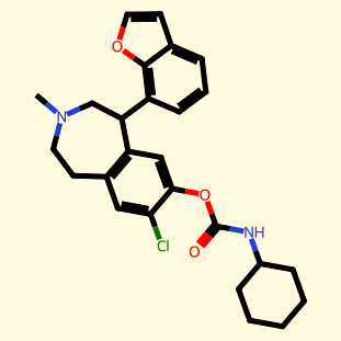 CN1CCc2cc(Cl)c(OC(=O)NC3CCCCC3)cc2C(c2cccc3ccoc23)C1